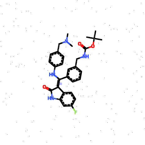 CN(C)Cc1ccc(N/C(=C2\C(=O)Nc3cc(F)ccc32)c2cccc(CNC(=O)OC(C)(C)C)c2)cc1